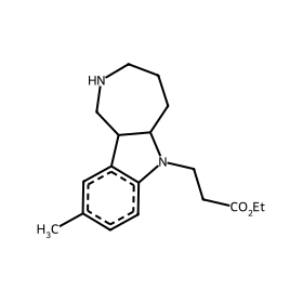 CCOC(=O)CCN1c2ccc(C)cc2C2CNCCCC21